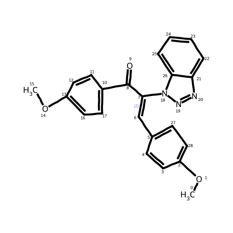 COc1ccc(/C=C(/C(=O)c2ccc(OC)cc2)n2nnc3ccccc32)cc1